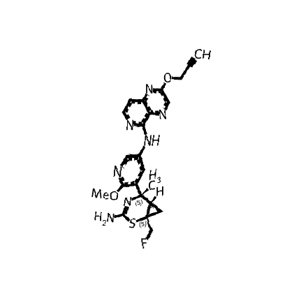 C#CCOc1cnc2c(Nc3cnc(OC)c([C@@]4(C)N=C(N)S[C@@]5(CF)C[C@H]54)c3)nccc2n1